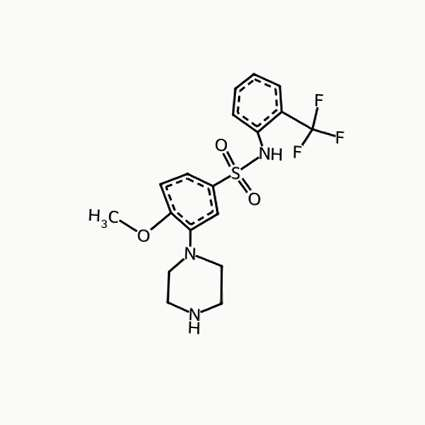 COc1ccc(S(=O)(=O)Nc2ccccc2C(F)(F)F)cc1N1CCNCC1